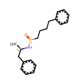 O=C[C@H](Cc1ccccc1)N[PH](=O)CCCCc1ccccc1